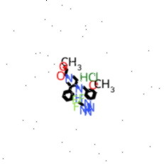 COCC(=O)N1CCC(NCc2cc(-n3nnnc3C(F)(F)F)ccc2OC)C(c2ccccc2)C1.Cl